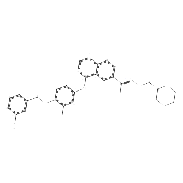 C/C(=N\OC[C@@H]1CNCCO1)c1ccc2ncnc(Nc3ccc(OCc4cccc(F)c4)c(Cl)c3)c2c1